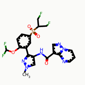 Cn1cc(NC(=O)c2cnn3cccnc23)c(-c2cc(S(=O)(=O)C(CF)CF)ccc2OC(F)F)n1